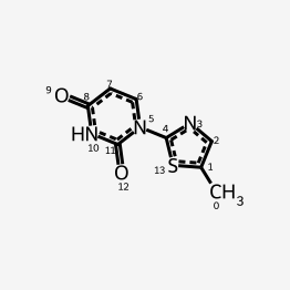 Cc1cnc(-n2ccc(=O)[nH]c2=O)s1